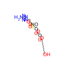 Nc1ncnc2c1ncn2[C@H]1CC[C@@H](COP(=O)(N=O)SCc2ccc(OC(=O)c3ccc(OC(=O)CCCCCCCCCCO)cc3)cc2)O1